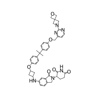 CC(C)(c1ccc(OCc2ccnc(N3CC4(COC4)C3)n2)cc1)c1ccc(OC2CC(Nc3ccc4c(c3)C(=O)N(C3CCC(=O)NC3=O)C4)C2)cc1